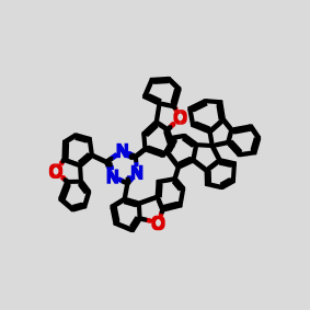 c1ccc2c(c1)-c1ccccc1C21c2ccccc2-c2c(-c3ccc4oc5cccc(-c6nc(-c7ccc8oc9ccccc9c8c7)nc(-c7cccc8oc9ccccc9c78)n6)c5c4c3)cccc21